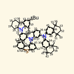 Cc1cc2c3c(c1)N1c4c(cc(C(C)(C)C)cc4C4(C)CCCCC14C)B3c1ccc(N(c3ccc4c(c3)C(C)(C)CCC4(C)C)c3ccc4c(c3)C(C)(C)CCC4(C)C)cc1N2c1cccc2sc3ccccc3c12